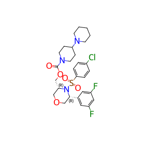 O=C(OC[C@H]1COC[C@@H](c2cc(F)cc(F)c2)N1S(=O)(=O)c1ccc(Cl)cc1)N1CCC(N2CCCCC2)CC1